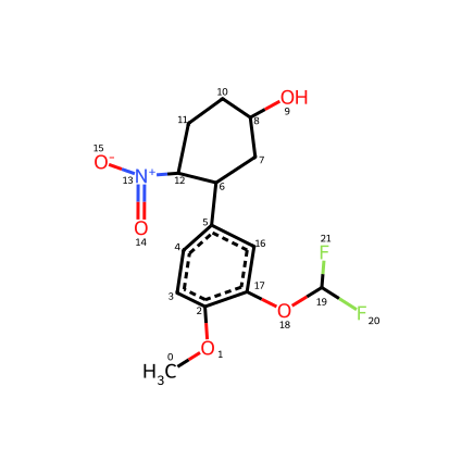 COc1ccc(C2CC(O)CCC2[N+](=O)[O-])cc1OC(F)F